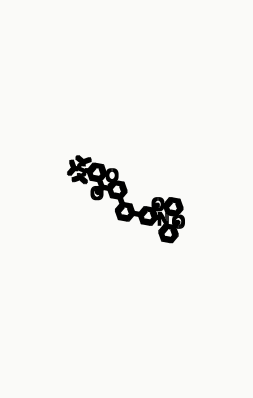 CC(C)S(c1ccc2oc3ccc(-c4cccc(-c5ccc6c(c5)Oc5cccc7c5N6c5ccccc5O7)c4)cc3c(=O)c2c1)(C(C)C)C(C)C